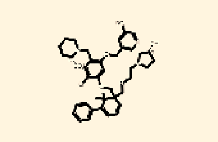 CC1(C)C(c2ccccc2)=CC=CC1(COCCN1CC[C@@H](O)C1)COc1cc(OCc2cncc(C#N)c2)c(CN2CCCC[C@H]2C(=O)O)cc1Cl